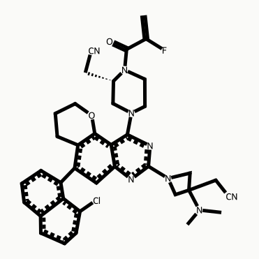 C=C(F)C(=O)N1CCN(c2nc(N3CC(CC#N)(N(C)C)C3)nc3cc(-c4cccc5cccc(Cl)c45)c4c(c23)OCCC4)C[C@@H]1CC#N